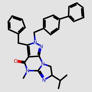 CC(C)C1CN2C(=N1)N(C)C(=O)c1c2nn(Cc2ccc(-c3ccccc3)cc2)c1Cc1ccccc1